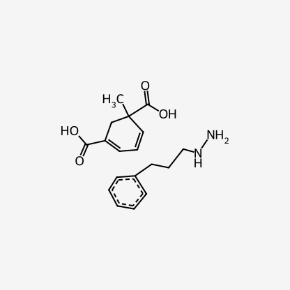 CC1(C(=O)O)C=CC=C(C(=O)O)C1.NNCCCc1ccccc1